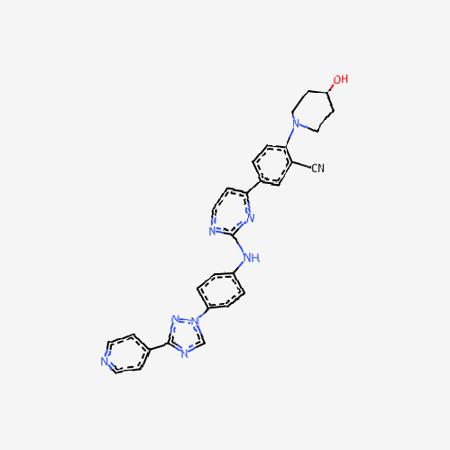 N#Cc1cc(-c2ccnc(Nc3ccc(-n4cnc(-c5ccncc5)n4)cc3)n2)ccc1N1CCC(O)CC1